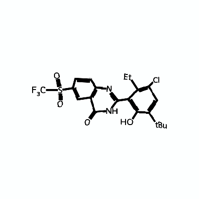 CCc1c(Cl)cc(C(C)(C)C)c(O)c1-c1nc2ccc(S(=O)(=O)C(F)(F)F)cc2c(=O)[nH]1